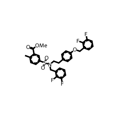 COC(=O)c1cc(S(=O)(=O)N(CCc2ccc(OCc3cccc(F)c3F)cc2)Cc2cccc(F)c2F)ccc1C